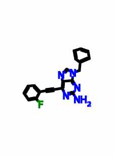 Nc1nc(C#Cc2ccccc2F)c2ncn(Cc3ccccc3)c2n1